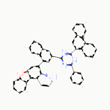 C1=Cc2c(c(-c3cc(-c4nc(-c5ccccc5)nc(-c5cc6ccccc6c6ccccc56)n4)cc4ccccc34)cc3oc4ccccc4c23)NC1